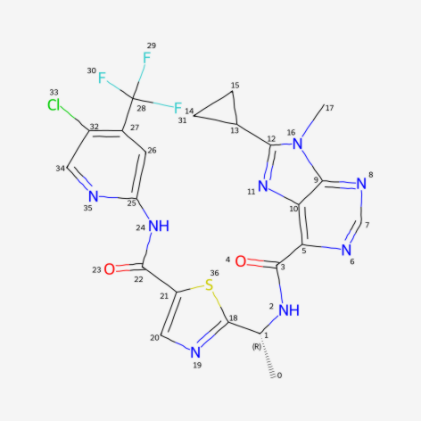 C[C@@H](NC(=O)c1ncnc2c1nc(C1CC1)n2C)c1ncc(C(=O)Nc2cc(C(F)(F)F)c(Cl)cn2)s1